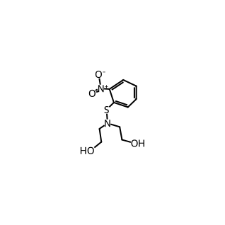 O=[N+]([O-])c1ccccc1SN(CCO)CCO